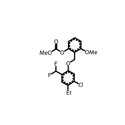 CCc1cc(C(F)F)c(OCc2c(OC)cccc2OC(=O)OC)cc1Cl